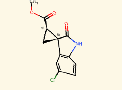 COC(=O)[C@@H]1C[C@]12C(=O)Nc1ccc(Cl)cc12